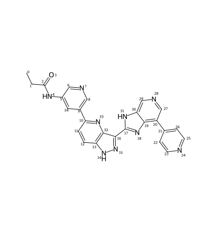 CCC(=O)Nc1cncc(-c2ccc3[nH]nc(-c4nc5c(-c6ccncc6)cncc5[nH]4)c3n2)c1